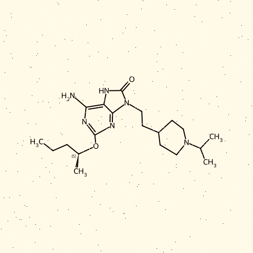 CCC[C@H](C)Oc1nc(N)c2[nH]c(=O)n(CCC3CCN(C(C)C)CC3)c2n1